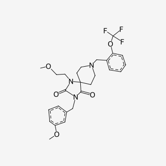 COCCN1C(=O)N(Cc2cccc(OC)c2)C(=O)C12CCN(Cc1ccccc1OC(F)(F)F)CC2